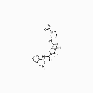 C=CC(=O)N1CCCC(Nc2n[nH]c3c2CN(C(=O)NC(CN(C)C)c2ccccc2)C3(C)C)C1